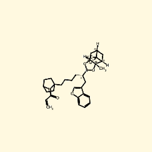 C=CC(=O)N1C2CCC1(CCCC[C@@H](Cc1coc3ccccc13)B1O[C@@H]3C[C@@H]4C[C@@H](C4(C)C)[C@]3(C)O1)CC2